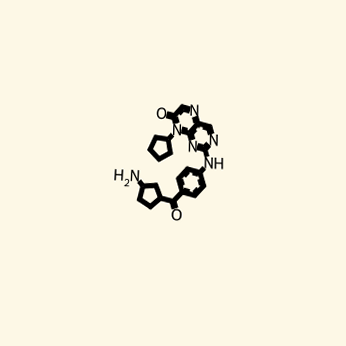 NC1CCC(C(=O)c2ccc(Nc3ncc4ncc(=O)n(C5CCCC5)c4n3)cc2)C1